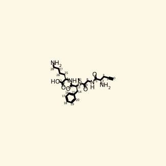 C#CC[C@H](N)C(=O)NCC(=O)N(C)[C@@H](Cc1ccccc1)C(=O)N[C@H](CCCCN)C(=O)O